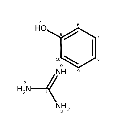 N=C(N)N.Oc1ccccc1